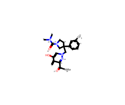 C=C1C(O)=CN(CC2(c3cccc(C(F)(F)F)c3)CCN(C(=O)N(C)C)C2)N=C1C(=O)NC